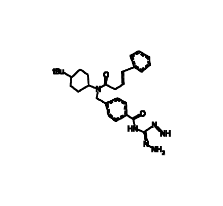 CC(C)(C)C1CCC(N(Cc2ccc(C(=O)N/C(N=N)=N/N)cc2)C(=O)C/C=C/c2ccccc2)CC1